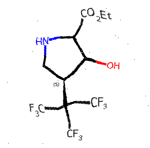 CCOC(=O)C1NC[C@H](C(C(F)(F)F)(C(F)(F)F)C(F)(F)F)C1O